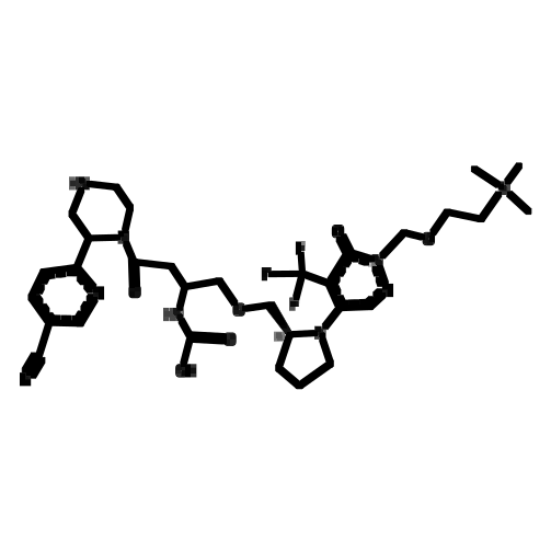 C[Si](C)(C)CCOCn1ncc(N2CCC[C@H]2COCC(CC(=O)N2CCNCC2c2ccc(C#N)cn2)NC(=O)O)c(C(F)(F)F)c1=O